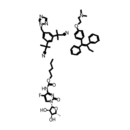 CC(C)(C#N)c1cc(Cn2cncn2)cc(C(C)(C)C#N)c1.CC/C(=C(\c1ccccc1)c1ccc(OCCN(C)C)cc1)c1ccccc1.CCCCCOC(=O)Nc1nc(=O)n([C@@H]2O[C@H](C)[C@@H](O)[C@H]2O)cc1F